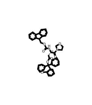 O=C(C[C@H](NC(=O)OCC1c2ccccc2-c2ccccc21)C(=O)N1CCOC1)OC(c1ccccc1)(c1ccccc1)c1ccccc1Cl